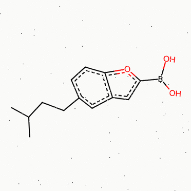 CC(C)CCc1ccc2oc(B(O)O)cc2c1